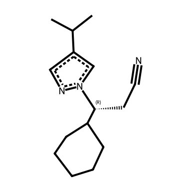 CC(C)c1cnn([C@H](CC#N)C2CCCCC2)c1